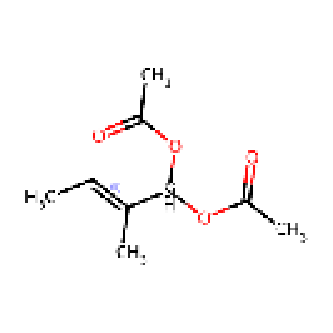 C/C=C(\C)[SiH](OC(C)=O)OC(C)=O